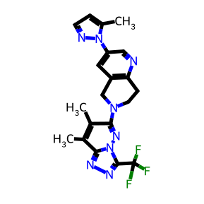 Cc1c(N2CCc3ncc(-n4nccc4C)cc3C2)nn2c(C(F)(F)F)nnc2c1C